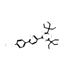 Bc1ccc(-c2ccc(-c3nc(C(CC)(CC)CC)nc(C(CC)(CC)CC)n3)cn2)cc1